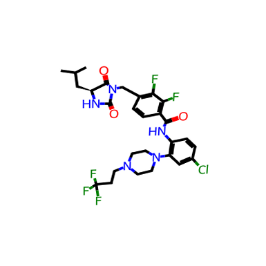 CC(C)C[C@@H]1NC(=O)N(Cc2ccc(C(=O)Nc3ccc(Cl)cc3N3CCN(CCC(F)(F)F)CC3)c(F)c2F)C1=O